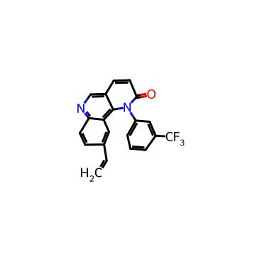 C=Cc1ccc2ncc3ccc(=O)n(-c4cccc(C(F)(F)F)c4)c3c2c1